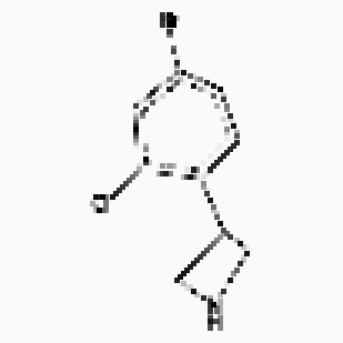 Clc1cc(Br)ccc1C1CNC1